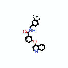 O=C(NCc1cccc(C(F)(F)F)c1)c1cccc(Oc2ccnc3ccccc23)c1